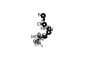 [2H]C([2H])(c1ccc(-c2ccc3ncnc(Nc4ccc(OCc5cccc(F)c5)c(Cl)c4)c3c2)o1)N(CCS(C)(=O)=O)C(=O)O